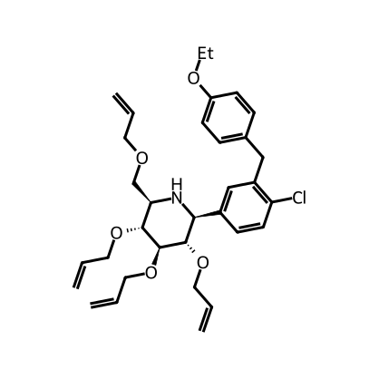 C=CCOC[C@H]1N[C@@H](c2ccc(Cl)c(Cc3ccc(OCC)cc3)c2)[C@H](OCC=C)[C@@H](OCC=C)[C@@H]1OCC=C